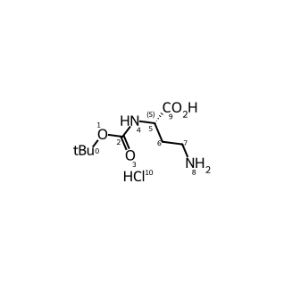 CC(C)(C)OC(=O)N[C@@H](CCN)C(=O)O.Cl